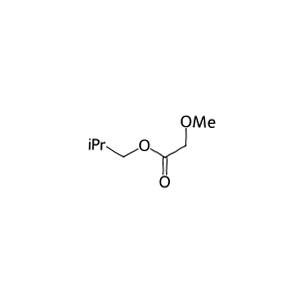 COCC(=O)OCC(C)C